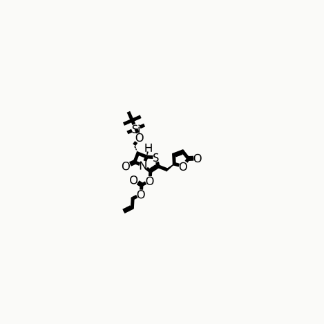 C=CCOC(=O)OC1=C(C[C@H]2C=CC(=O)O2)S[C@@H]2[C@@H](CO[Si](C)(C)C(C)(C)C)C(=O)N12